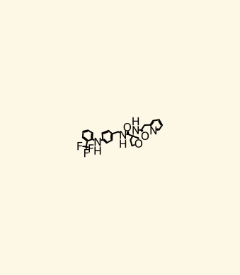 O=C(Cc1ccccn1)N[C@@]1(C(=O)NCc2ccc(Nc3ccccc3C(F)(F)F)cc2)CCOC1